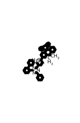 C=C(/C=C\C(=C/C)c1nc(-c2ccccc2)nc(-c2ccccc2-c2ccccc2)n1)c1ccc2c(c1)C(C)(C)c1ccccc1C21c2ccccc2-c2ccccc21